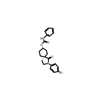 CCc1ccc(N2CC[C@]3(CC[C@@H](OC(=O)Nc4ccccc4)CC3)C2=O)cc1